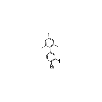 Cc1cc(C)c(-c2ccc(Br)c(I)c2)c(C)c1